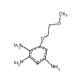 COCCOc1cc(N)cc(N)c1N